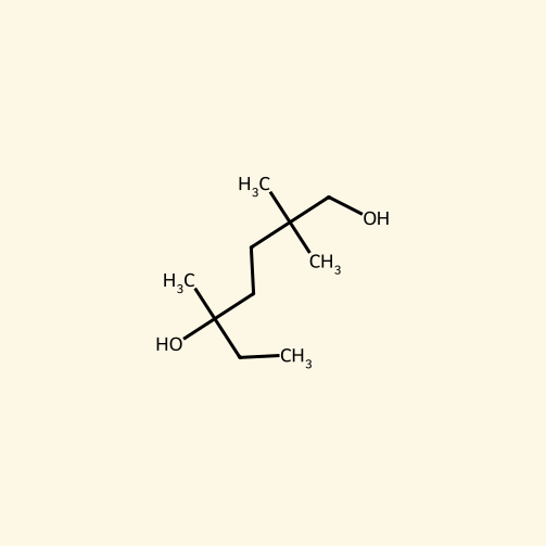 CCC(C)(O)CCC(C)(C)CO